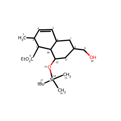 CCOC(=O)C1C(C)C=CC2CC(CO)CC(O[Si](C)(C)C(C)(C)C)C21